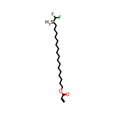 C=CC(=O)OCCCCCCCCCCCCCCCCC[SiH2]C(F)F